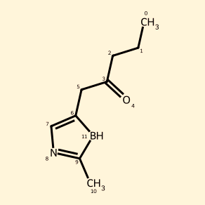 CCCC(=O)CC1=CN=C(C)B1